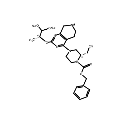 COC(OC)[C@@H](C)Oc1nc2c(c(N3CCN(C(=O)OCc4ccccc4)[C@@H](CC#N)C3)n1)CCNC2